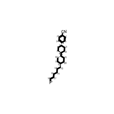 N#Cc1ccc([C@H]2CC[C@H]([C@H]3CC[C@H](CCCCC=CF)CC3)CC2)cc1